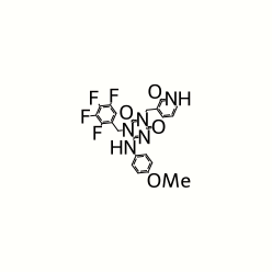 COc1ccc(Nc2nc(=O)n(Cc3ccc[nH]c3=O)c(=O)n2Cc2cc(F)c(F)c(F)c2F)cc1